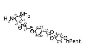 CCCCCOc1ccc(OC(=O)/C=C/c2ccc(OCCOC(=O)c3cc(N)cc(N)c3)cc2)cc1